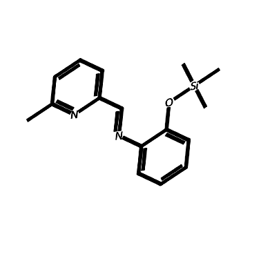 Cc1cccc(C=Nc2ccccc2O[Si](C)(C)C)n1